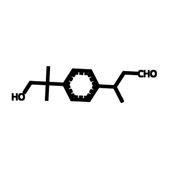 CC(CC=O)c1ccc(C(C)(C)CO)cc1